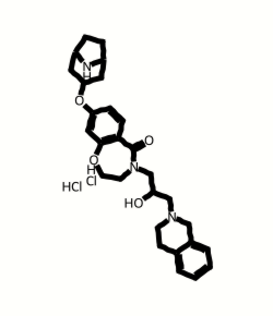 Cl.Cl.O=C1c2ccc(OC3CC4CCC(C3)N4)cc2OCCN1CC(O)CN1CCc2ccccc2C1